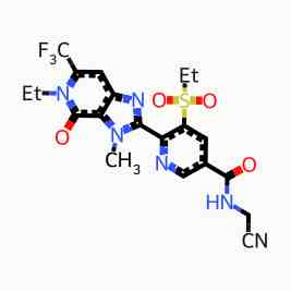 CCn1c(C(F)(F)F)cc2nc(-c3ncc(C(=O)NCC#N)cc3S(=O)(=O)CC)n(C)c2c1=O